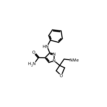 CNCC1(n2cc(C(N)=O)c(Nc3ccccc3)n2)COC1